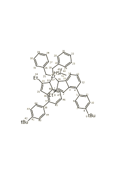 CCC1=Cc2c(-c3ccc(C(C)(C)C)cc3)cccc2[CH]1[Zr]([CH2]c1ccccc1)([CH2]c1ccccc1)([CH]1C(CC)=Cc2c(-c3ccc(C(C)(C)C)cc3)cccc21)[SiH](C)C